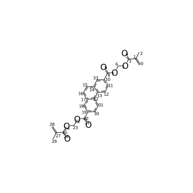 C=C(C)C(=O)OCOC(=O)c1ccc2c(ccc3cc(C(=O)OCOC(=O)C(=C)C)ccc32)c1